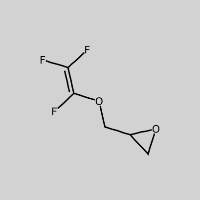 FC(F)=C(F)OCC1CO1